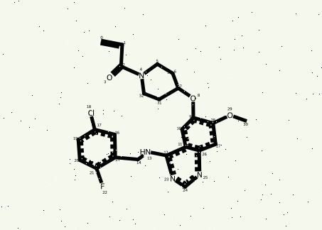 C=CC(=O)N1CCC(Oc2cc3c(NCc4cc(Cl)ccc4F)ncnc3cc2OC)CC1